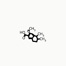 COc1cc2c(cc1C(=O)O)CCC(C)C2C